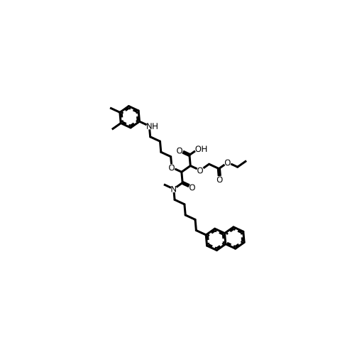 CCOC(=O)COC(C(=O)O)C(OCCCCNc1ccc(C)c(C)c1)C(=O)N(C)CCCCCc1ccc2ccccc2c1